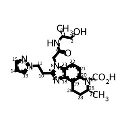 C[C@H](CO)NC(=O)Cn1c(CCn2cccn2)nc2c3c(ccc21)N(C(=O)O)[C@@H](C)CC3